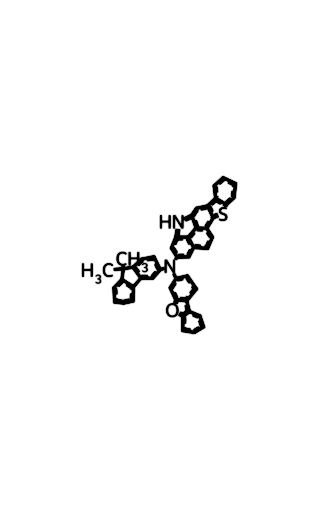 CC1(C)c2ccccc2-c2cc(N(c3cc4ccc5c6sc7ccccc7c6cc6[nH]c(c3)c4c65)c3ccc4c(c3)oc3ccccc34)ccc21